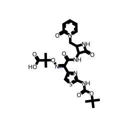 CC(C)(C)OC(=O)Nc1nc(/C(=N/OC(C)(C)C(=O)O)C(=O)NC2C(=O)NC2Cn2ccccc2=O)cs1